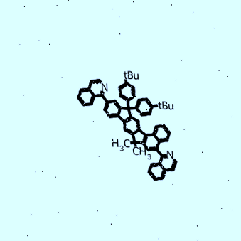 CC(C)(C)c1ccc(C2(c3ccc(C(C)(C)C)cc3)c3cc(-c4nccc5ccccc45)ccc3-c3cc4c(cc32)-c2c(cc(-c3nccc5ccccc35)c3ccccc23)C4(C)C)cc1